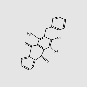 Nc1c(Cc2ccccc2)c(S)c(O)c2c1C(=O)c1ccccc1C2=O